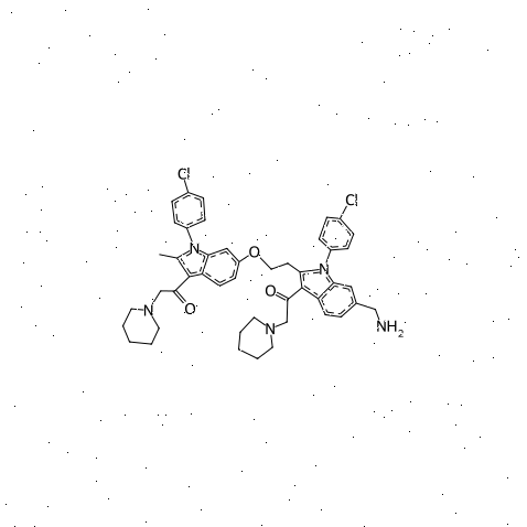 Cc1c(C(=O)CN2CCCCC2)c2ccc(OCCc3c(C(=O)CN4CCCCC4)c4ccc(CN)cc4n3-c3ccc(Cl)cc3)cc2n1-c1ccc(Cl)cc1